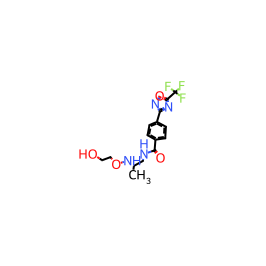 CC(CNC(=O)c1ccc(-c2noc(C(F)(F)F)n2)cc1)NOCCO